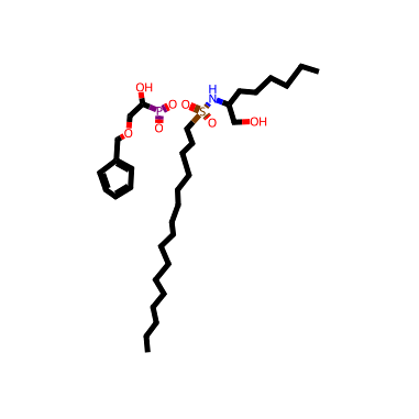 CCCCCCCCCCCCCCCCS(=O)(=O)NC(CO)CCCCCC.O=P(=O)C(O)COCc1ccccc1